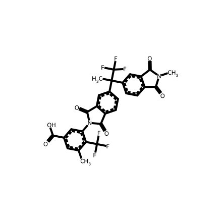 Cc1cc(C(=O)O)cc(N2C(=O)c3ccc(C(C)(c4ccc5c(c4)C(=O)N(C)C5=O)C(F)(F)F)cc3C2=O)c1C(F)(F)F